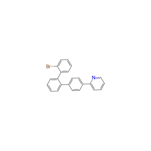 Brc1ccccc1-c1ccccc1-c1ccc(-c2ccccn2)cc1